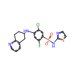 O=S(=O)(Nc1nccs1)c1cc(Cl)c(NC2CCc3ncccc3C2)cc1F